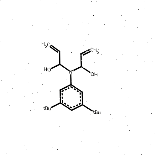 C=CC(O)N(c1cc(C(C)(C)C)cc(C(C)(C)C)c1)C(O)C=C